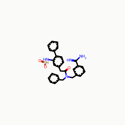 N=C(N)c1cccc(CN(Cc2ccccc2)C(=O)Cc2ccc(-c3ccccc3)c(N[SH](=O)=O)c2)c1